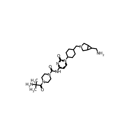 CC(C)(N)C(=O)N1CCN(C(=O)Nc2ccn(C3CCC(CN4CC5C(CN)C5C4)CC3)c(=O)n2)CC1